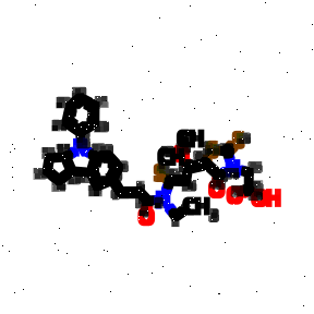 CCN(C(=O)/C=C/c1ccc2c(c1)C1CCCC1N2c1ccccc1)C(=C/C(OC)=C1/SC(=S)N(CC(=O)O)C1=O)SC